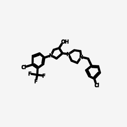 OC1CN(c2ccc(Cl)c(C(F)(F)F)c2)CC1N1CCN(Cc2ccc(Cl)cc2)CC1